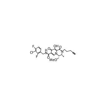 C#CCCCN1C(=O)c2c(O)c(=O)c(C(=O)NCc3ccc(F)c(Cl)c3F)cn2[C@@H](COC)[C@@H]1C